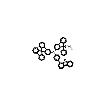 CC1(c2ccccc2)c2ccccc2-c2ccc(N(c3ccc(-c4cccc5c4sc4ccccc45)cc3)c3ccc4c(c3)-c3ccccc3C43c4ccccc4-c4ccccc43)cc21